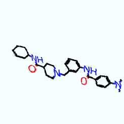 CN(C)c1ccc(C(=O)Nc2cccc(CN3CCC(C(=O)NC4CCCCC4)CC3)c2)cc1